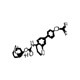 O=C(NC1CCOc2cc(-c3ccc(OC(F)F)cc3)ccc21)O[C@@H]1CN2CCC1CC2